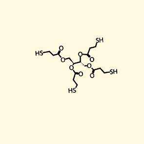 O=C(CCS)OC[C@H](OC(=O)CCS)[C@@H](COC(=O)CCS)OC(=O)CCS